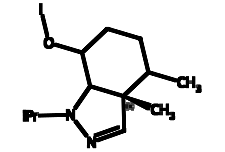 CC(C)N1N=C[C@@]2(C)C(C)CCC(OI)C12